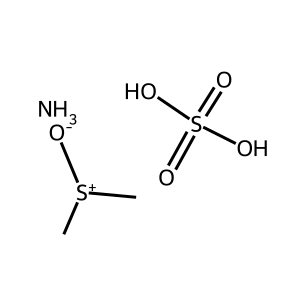 C[S+](C)[O-].N.O=S(=O)(O)O